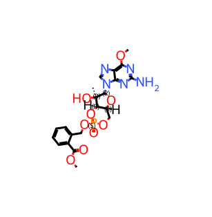 COC(=O)c1ccccc1CO[P@@]1(=O)OC[C@H]2O[C@@H](n3cnc4c(OC)nc(N)nc43)[C@](C)(O)[C@@H]2O1